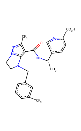 C[C@H](NC(=O)c1c(C(F)(F)F)nn2c1N(Cc1cccc(C(F)(F)F)c1)CC2)c1ccc(C(=O)O)nc1